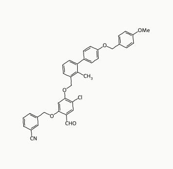 COc1ccc(COc2ccc(-c3cccc(COc4cc(OCc5cccc(C#N)c5)c(C=O)cc4Cl)c3C)cc2)cc1